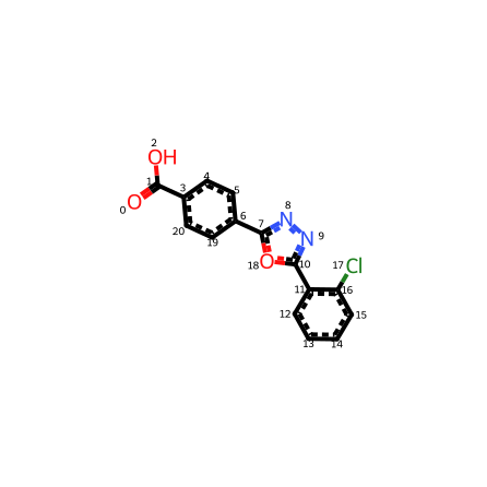 O=C(O)c1ccc(-c2nnc(-c3ccccc3Cl)o2)cc1